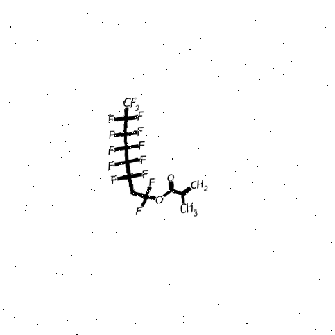 C=C(C)C(=O)OC(F)(F)CC(F)(F)C(F)(F)C(F)(F)C(F)(F)C(F)(F)C(F)(F)F